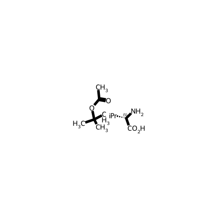 CC(=O)OC(C)(C)C.CC(C)[C@H](N)C(=O)O